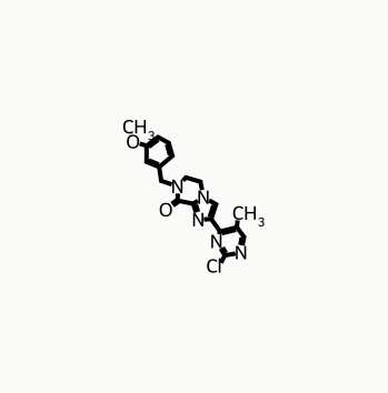 COc1cccc(CN2CCn3cc(-c4nc(Cl)ncc4C)nc3C2=O)c1